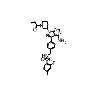 C=CC(=O)N1CCC[C@@H](n2nc(-c3ccc(CNS(=O)(=O)c4ccc(C)cc4F)cc3)c3c(N)ncnc32)C1